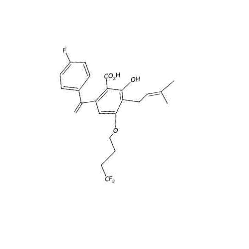 C=C(c1ccc(F)cc1)c1cc(OCCCC(F)(F)F)c(CC=C(C)C)c(O)c1C(=O)O